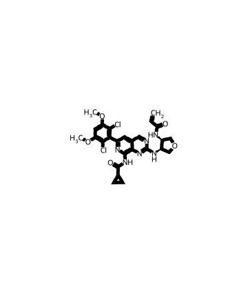 C=CC(=O)N[C@H]1COC[C@H]1Nc1ncc2cc(-c3c(Cl)c(OC)cc(OC)c3Cl)nc(NC(=O)C3CC3)c2n1